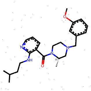 COc1cccc(CN2CCN(C(=O)c3cccnc3NCCC(C)C)[C@@H](C)C2)c1